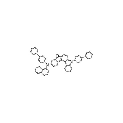 c1ccc(-c2ccc(N(c3ccc4c(c3)oc3ccc5c(c6ccccc6n5-c5ccc(-c6ccccc6)cc5)c34)c3cccc4ccccc34)cc2)cc1